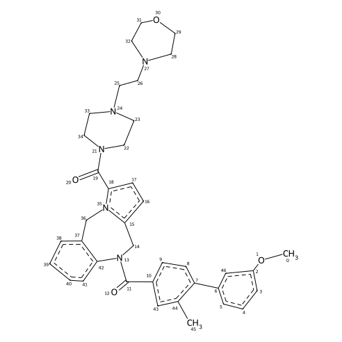 COc1cccc(-c2ccc(C(=O)N3Cc4ccc(C(=O)N5CCN(CCN6CCOCC6)CC5)n4Cc4ccccc43)cc2C)c1